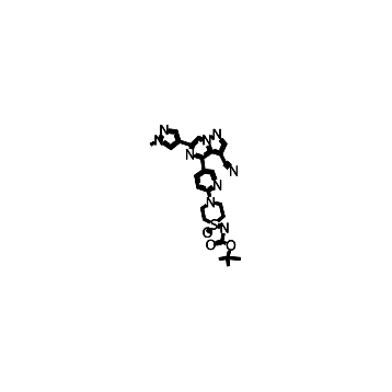 Cn1cc(-c2cn3ncc(C#N)c3c(-c3ccc(N4CCS(=O)(=NC(=O)OC(C)(C)C)CC4)nc3)n2)cn1